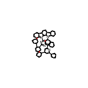 c1ccc(-c2cc(-c3ccccc3)nc(-c3ccc(-n4c5ccccc5c5ccc6c7ccccc7n(-c7nc(-c8ccccc8)nc(-c8ccccc8-c8ccccc8)n7)c6c54)cc3)c2)cc1